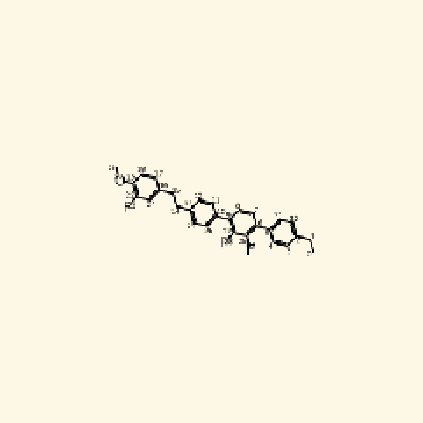 CCc1ccc(-c2ccc(-c3ccc(CCc4ccc(OC)c(F)c4)cc3)c(F)c2F)cc1